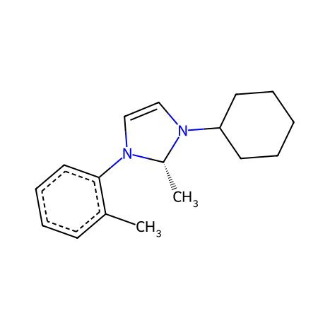 Cc1ccccc1N1C=CN(C2CCCCC2)[C@@H]1C